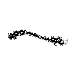 CC1c2ccc(OCCOCCOCCOCCOCCOC3CCN(c4ccc5c6cnccc6n(C)c5c4)CC3)cc2C(=O)N1C1CCC(=O)NC1=O